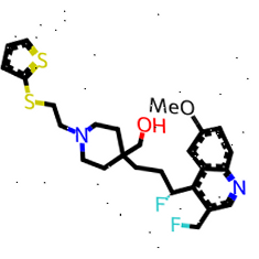 COc1ccc2ncc(CF)c([C@H](F)CCC3(CO)CCN(CCSc4cccs4)CC3)c2c1